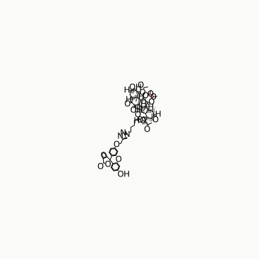 CC(=O)O[C@H]1[C@H]2[C@H]([C@@H]3[C@@H](OC(=O)CCCCn4cc(COc5ccc6c(c5)Oc5cc(O)ccc5C65OC(=O)c6ccccc65)nn4)C4[C@H]([C@H](C)[C@H]5O[C@]56CC(=O)[C@@](C)(O)[C@]46C)[C@@]3(C)[C@H]1OC(C)=O)[C@@H](O)C(=O)[C@H]1C[C@@H]3O[C@@H]3[C@H](OC(C)=O)[C@]21C